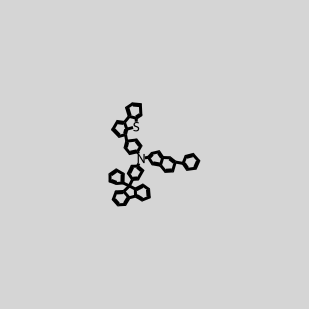 c1ccc(-c2ccc3cc(N(c4ccc(-c5cccc6c5sc5ccccc56)cc4)c4ccc(C5(c6ccccc6)c6ccccc6-c6ccccc65)cc4)ccc3c2)cc1